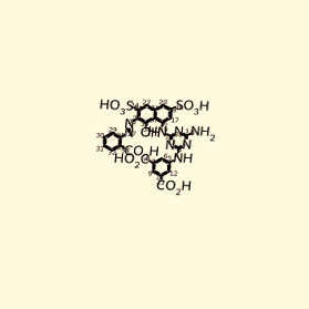 Nc1nc(Nc2cc(C(=O)O)cc(C(=O)O)c2)nc(Nc2cc(S(=O)(=O)O)cc3cc(S(=O)(=O)O)c(/N=N/c4ccccc4C(=O)O)c(O)c23)n1